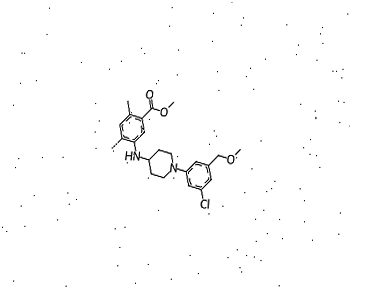 COCc1cc(Cl)cc(N2CCC(Nc3cc(C(=O)OC)c(C)cc3C)CC2)c1